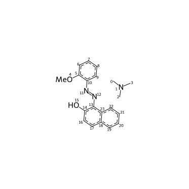 CN(C)C.COc1ccccc1N=Nc1c(O)ccc2ccccc12